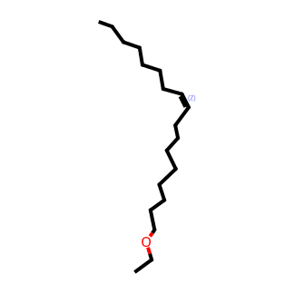 CCCCCCC/C=C\CCCCCCCCOCC